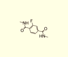 CNC(=O)c1ccc(C(=O)NC)c(F)c1